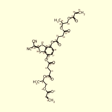 C=CC(=O)OCC(C)OC(=O)CCC(=O)Oc1ccc(OC(=O)CCC(=O)OC(C)COC(=O)C=C)c2c1SC(=C(C#N)C#N)S2